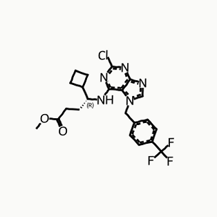 COC(=O)CC[C@@H](Nc1nc(Cl)nc2ncn(Cc3ccc(C(F)(F)F)cc3)c12)C1CCC1